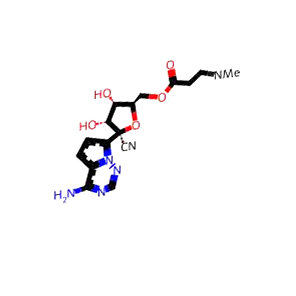 CNCCC(=O)OC[C@H]1O[C@@](C#N)(c2ccc3c(N)ncnn23)[C@H](O)[C@@H]1O